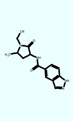 CC1CC(NC(=O)c2ccc3[nH]ncc3c2)C(=O)N1CC#N